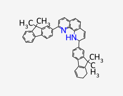 CC1(C)C2=C(C=CCC2)c2ccc(C3C=Cc4ccc5ccc(-c6ccc7c(c6)C(C)(C)c6ccccc6-7)nc5c4N3)cc21